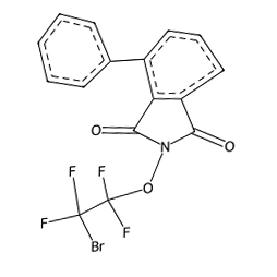 O=C1c2cccc(-c3ccccc3)c2C(=O)N1OC(F)(F)C(F)(F)Br